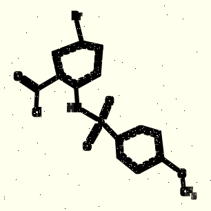 O=C(Cl)c1cc(Br)ccc1NS(=O)(=O)c1ccc(OC(F)(F)F)cc1